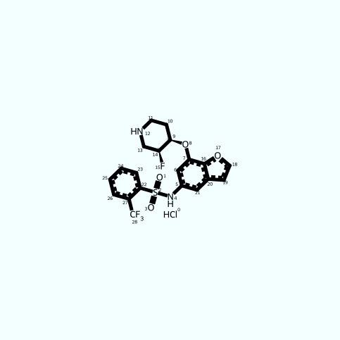 Cl.O=S(=O)(Nc1cc(O[C@@H]2CCNC[C@@H]2F)c2occc2c1)c1ccccc1C(F)(F)F